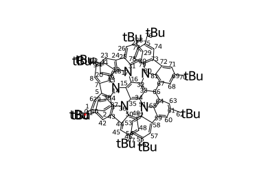 CC(C)(C)c1ccc2c(c1)c1cc(C(C)(C)C)ccc1n2-c1c(-n2c3ccc(C(C)(C)C)cc3c3cc(C(C)(C)C)ccc32)c2c3c(c1-n1c4ccc(C(C)(C)C)cc4c4cc(C(C)(C)C)ccc41)-n1c4ccc(C(C)(C)C)cc4c4cc(C(C)(C)C)cc(c41)C3c1cc(C(C)(C)C)cc3c4cc(C(C)(C)C)ccc4n-2c13